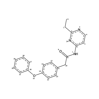 CCc1nccc(NC(=O)Cc2ccc(Oc3ccccc3)cc2)n1